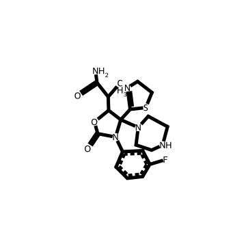 CC(C(N)=O)C1OC(=O)N(c2cccc(F)c2)C1(C1=NCCS1)N1CCNCC1